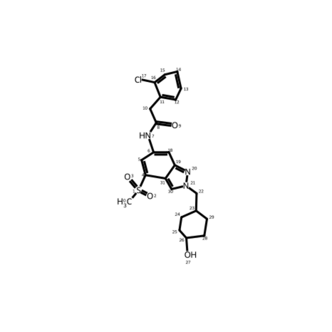 CS(=O)(=O)c1cc(NC(=O)Cc2ccccc2Cl)cc2nn(CC3CCC(O)CC3)cc12